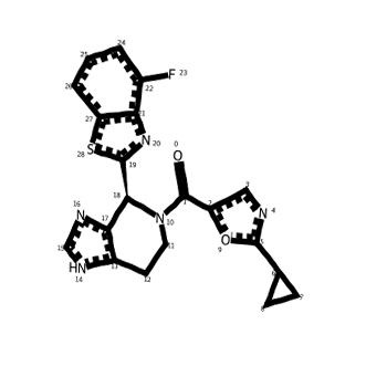 O=C(c1cnc(C2CC2)o1)N1CCc2[nH]cnc2[C@H]1c1nc2c(F)cccc2s1